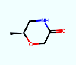 C[C@H]1CNC(=O)CO1